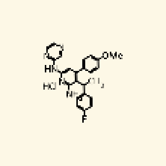 COc1ccc(-c2cc(Nc3cnccn3)nc(N)c2C(C)c2ccc(F)cc2)cc1.Cl